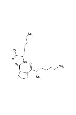 NCCCC[C@H](NC(=O)[C@@H]1CCCN1C(=O)[C@@H](N)CCCCN)C(=O)O